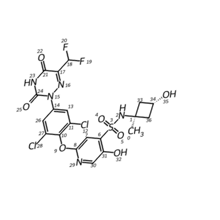 C[C@]1(NS(=O)(=O)c2cc(Oc3c(Cl)cc(-n4nc(C(F)F)c(=O)[nH]c4=O)cc3Cl)ncc2O)C[C@H](O)C1